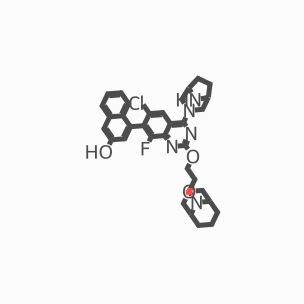 Oc1cc(-c2c(Cl)cc3c(N4CC5CCC(C4)N5)nc(OCCCN4C5CCCC4COC5)nc3c2F)c2ccccc2c1